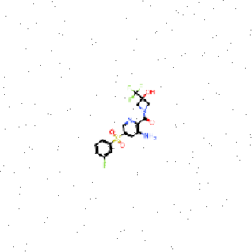 Nc1cc(S(=O)(=O)c2cccc(F)c2)cnc1C(=O)N1CC(O)(C(F)(F)F)C1